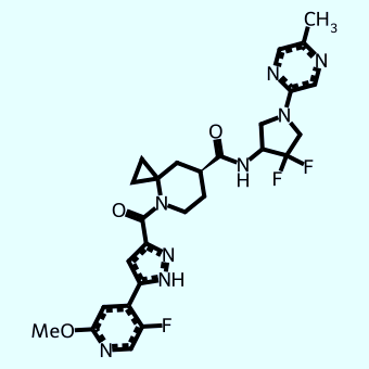 COc1cc(-c2cc(C(=O)N3CC[C@H](C(=O)NC4CN(c5cnc(C)cn5)CC4(F)F)CC34CC4)n[nH]2)c(F)cn1